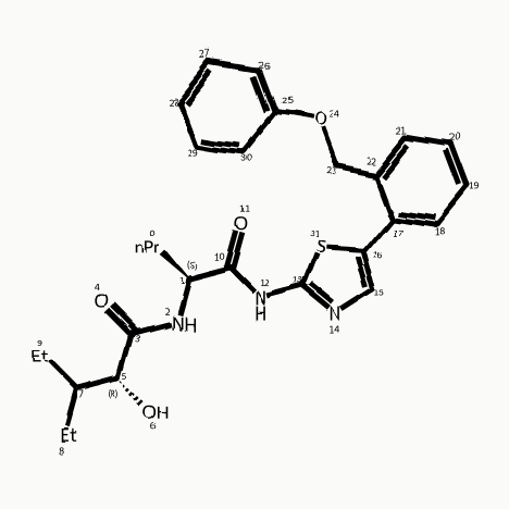 CCC[C@H](NC(=O)[C@H](O)C(CC)CC)C(=O)Nc1ncc(-c2ccccc2COc2ccccc2)s1